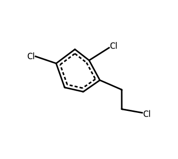 ClCCc1ccc(Cl)cc1Cl